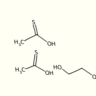 CC(O)=S.CC(O)=S.OCCO